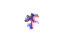 CC(C)(O)c1cnnn1[C@H]1C[C@@H](C(=O)NC(CCCCNC(=O)Nc2cncnc2)C(=O)C(N)=O)N(C(=O)C(CC2CCCCC2)NC(=O)c2ccc3ccccc3c2)C1